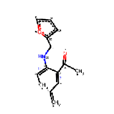 C=C/C=C(C(C)=O)\C(=C/C)NCc1ccco1